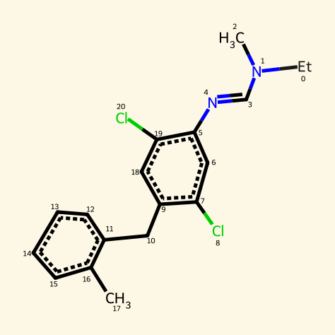 CCN(C)C=Nc1cc(Cl)c(Cc2ccccc2C)cc1Cl